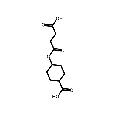 O=C(O)CCC(=O)OC1CCC(C(=O)O)CC1